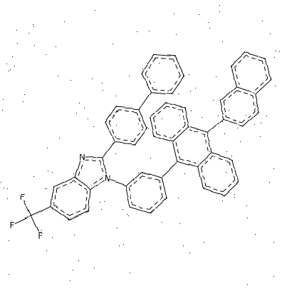 FC(F)(F)c1ccc2c(c1)nc(-c1ccc(-c3ccccc3)cc1)n2-c1cccc(-c2c3ccccc3c(-c3ccc4ccccc4c3)c3ccccc23)c1